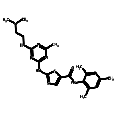 Cc1cc(C)c(NC(=O)c2cnc(Nc3nc(C)nc(NCCN(C)C)n3)s2)c(C)c1